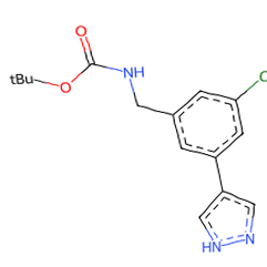 CC(C)(C)OC(=O)NCc1cc(Cl)cc(-c2cn[nH]c2)c1